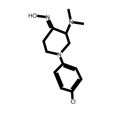 CN(C)C1CN(c2ccc(Cl)cc2)CCC1=NO